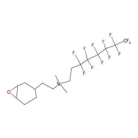 C[Si](C)(CCC1CCC2OC2C1)CCC(F)(F)C(F)(F)C(F)(F)C(F)(F)C(F)(F)C(F)(F)F